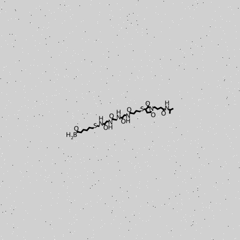 BC(=O)CCCCCSCNC(=O)CNC(=O)CNC(=O)CNC(=O)CCCSC1CC(=O)N(CCCC(=O)NC(C)C)C1=O